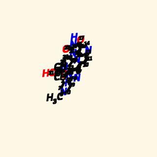 CN1CCN(c2ncc(-c3ccc4ncc5c(=O)[nH]c(=O)n(C6CCN(C(=O)C(C)(C)O)CC6)c5c4n3)cn2)CC1